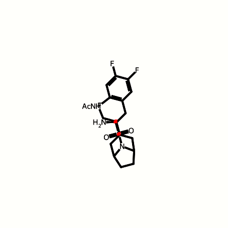 CC(=O)NCCS(=O)(=O)N1C2CCC1CC([C@@H](N)Cc1cc(F)c(F)cc1F)C2